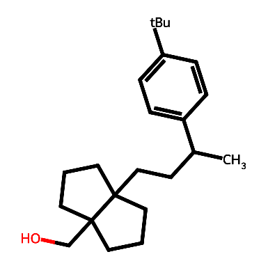 CC(CCC12CCCC1(CO)CCC2)c1ccc(C(C)(C)C)cc1